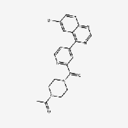 CC(=O)N1CCN(C(=O)c2cc(-c3ncnc4ccc(Br)cc34)ccn2)CC1